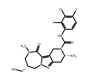 C[C@@H]1Cc2nn3c(c2CN1C(=O)Nc1ccc(F)c(Cl)c1F)C(=O)N(C)C[C@@H](CO)C3